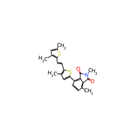 Cc1cc(C)c(/C=C/c2sc(-c3ccc(C)c4c3C(=O)N(C)C4=O)cc2C)s1